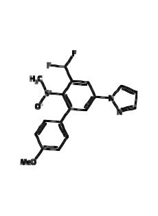 COc1ccc(-c2cc(-n3cccn3)cc(C(F)F)c2[S+](C)[O-])cc1